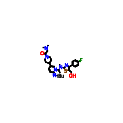 CCC(C)/N=c1/ccc(C2CCN(C(=O)CN(C)C)CC2)cn1C(C)N(C)c1nc(-c2ccc(F)cc2)c(CO)s1